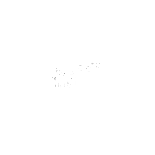 Cc1c(COc2cc(OCc3cncc(C#N)c3)c(CNC(CO)(CO)CO)cc2Cl)cccc1-c1cccc(C(=O)N2CCOCC2)c1C